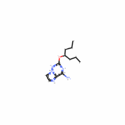 CCCC(CCC)Oc1nc(N)c2nccn2n1